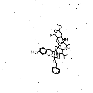 COC(=O)CC(NC(=O)C(C)NC(=O)C(NC(=O)C(Cc1ccc(O)cc1)NC(=O)OCc1ccccc1)C(C)C)C(=O)CF